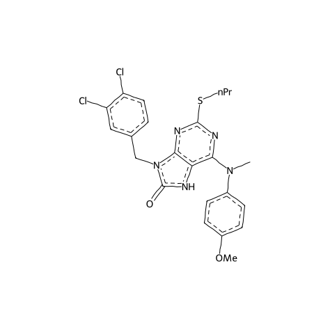 CCCSc1nc(N(C)c2ccc(OC)cc2)c2[nH]c(=O)n(Cc3ccc(Cl)c(Cl)c3)c2n1